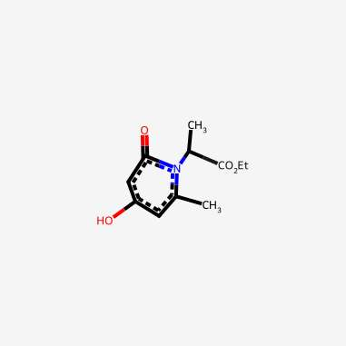 CCOC(=O)C(C)n1c(C)cc(O)cc1=O